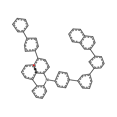 c1ccc(-c2ccc(-c3ccc(N(c4ccc(-c5cccc(-c6cccc(-c7ccc8ccccc8c7)c6)c5)cc4)c4ccccc4-c4ccccc4)cc3)cc2)cc1